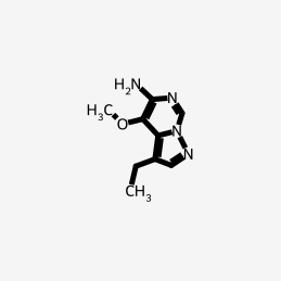 CCc1cnn2cnc(N)c(OC)c12